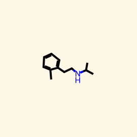 Cc1ccccc1CCNC(C)C